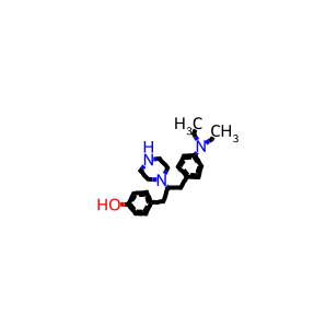 CCN(CC)c1ccc(CC(Cc2ccc(O)cc2)N2CCNCC2)cc1